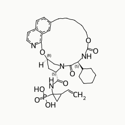 C=CC1CC1(NC(=O)[C@@H]1C[C@@H]2CN1C(=O)[C@H](C1CCCCC1)NC(=O)OCCCCCc1ccc3ccnc(c3c1)O2)P(=O)(O)O